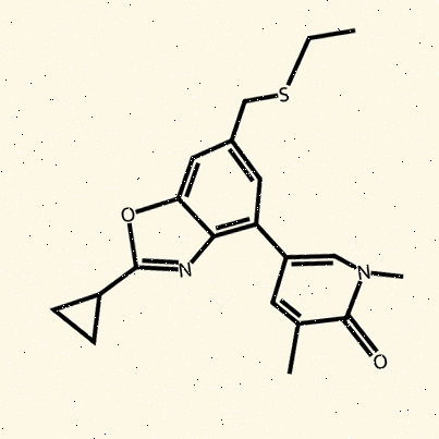 CCSCc1cc(-c2cc(C)c(=O)n(C)c2)c2nc(C3CC3)oc2c1